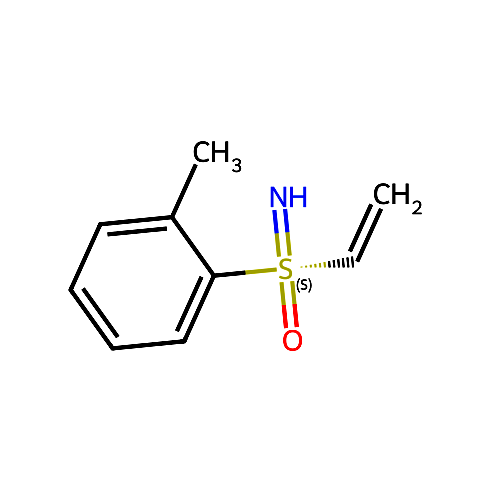 C=C[S@](=N)(=O)c1ccccc1C